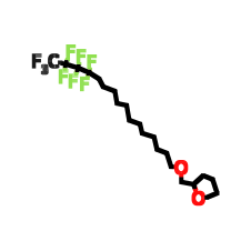 FC(F)(F)C(F)(F)C(F)(F)C(F)(F)CCCCCCCCCCCCOCC1CCCCO1